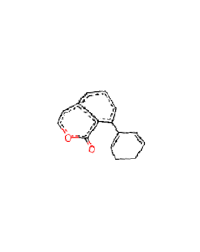 O=c1occc2cccc(C3=CCCC=C3)c12